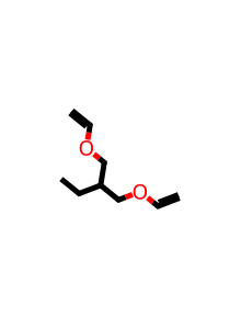 C=COCC(CC)COC=C